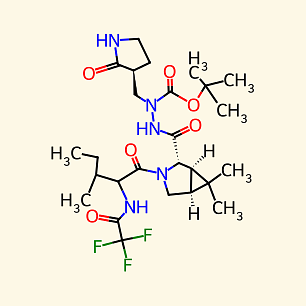 CCC(C)C(NC(=O)C(F)(F)F)C(=O)N1C[C@H]2[C@@H]([C@H]1C(=O)NN(C[C@@H]1CCNC1=O)C(=O)OC(C)(C)C)C2(C)C